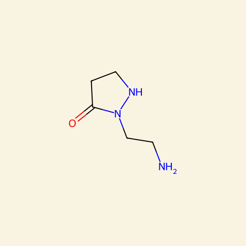 NCCN1NCCC1=O